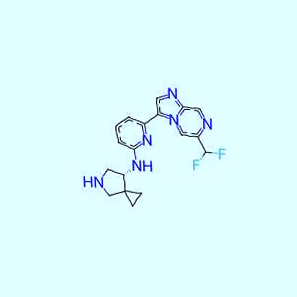 FC(F)c1cn2c(-c3cccc(N[C@H]4CNCC45CC5)n3)cnc2cn1